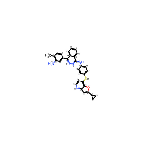 Cc1ccc(-c2nnc(Nc3ccc(Sc4ccnc5cc(C6CC6)oc45)cc3)c3ccccc23)cc1N